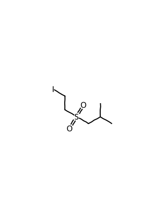 CC(C)CS(=O)(=O)CCI